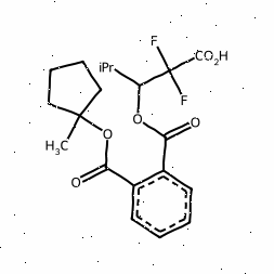 CC(C)C(OC(=O)c1ccccc1C(=O)OC1(C)CCCC1)C(F)(F)C(=O)O